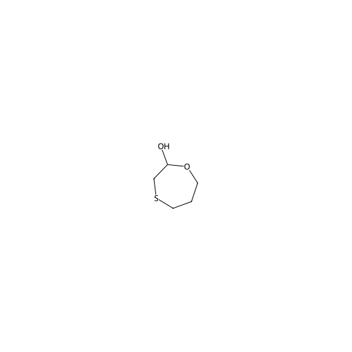 OC1CSCCCO1